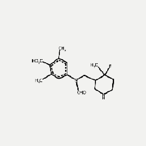 Cc1cc(N(C=O)CC2CNCCC2(C)F)cc(C)c1C(=O)O